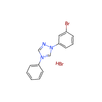 Br.Brc1cccc(-n2c[n+](-c3ccccc3)cn2)c1